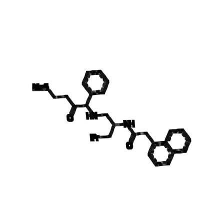 CSCCC(=O)C(NCC(CC(C)C)NC(=O)Cc1cccc2ccccc12)c1ccccc1